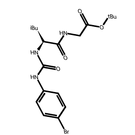 CC[C@H](C)[C@H](NC(=O)Nc1ccc(Br)cc1)C(=O)NCC(=O)OC(C)(C)C